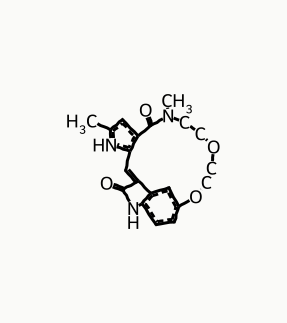 Cc1cc2c([nH]1)/C=C1\C(=O)Nc3ccc(cc31)OCCOCCN(C)C2=O